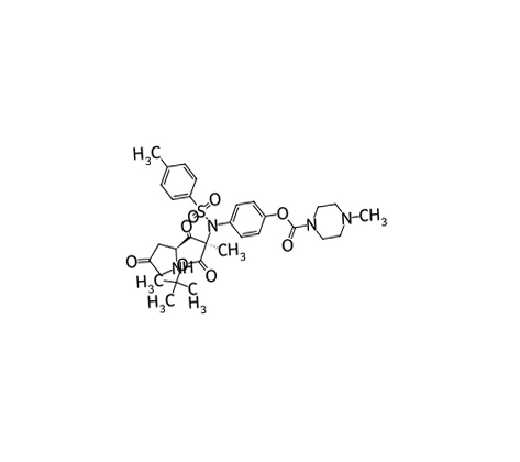 Cc1ccc(S(=O)(=O)N(c2ccc(OC(=O)N3CCN(C)CC3)cc2)[C@@](C)(C(=O)OC(C)(C)C)C(=O)[C@@H]2CC(=O)CN2)cc1